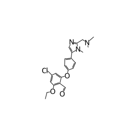 CCOc1cc(Cl)cc(Oc2ccc(-c3cnc(CN(C)C)n3C)cc2)c1C=O